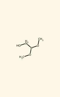 CON(OC)[SiH2]O